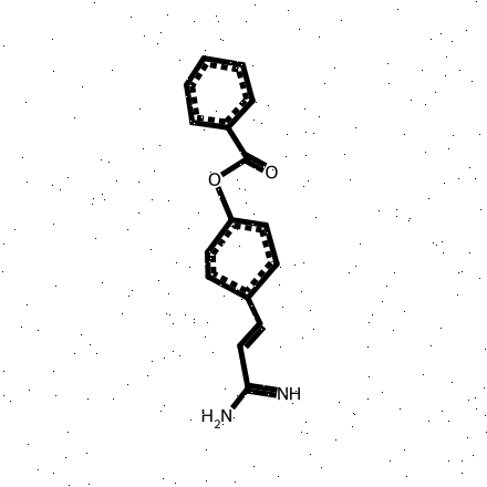 N=C(N)C=Cc1ccc(OC(=O)c2ccccc2)cc1